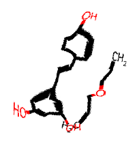 C=CCOCC=C.Oc1ccc(C=Cc2cc(O)cc(O)c2)cc1